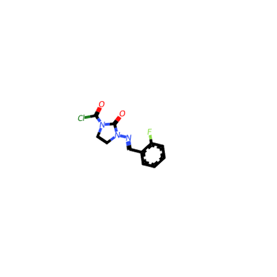 O=C(Cl)N1CCN(N=Cc2ccccc2F)C1=O